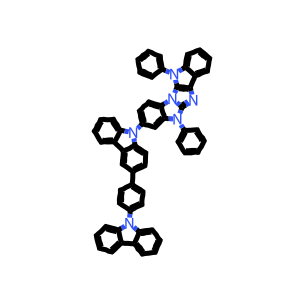 c1ccc(-n2c3cc(-n4c5ccccc5c5cc(-c6ccc(-n7c8ccccc8c8ccccc87)cc6)ccc54)ccc3n3c2nc2c4ccccc4n(-c4ccccc4)c23)cc1